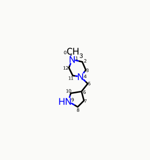 CN1CCN(CC2CCNC2)CC1